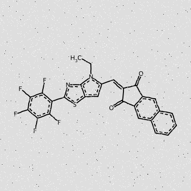 CCn1c(C=C2C(=O)c3cc4ccccc4cc3C2=O)cc2sc(-c3c(F)c(F)c(F)c(F)c3F)nc21